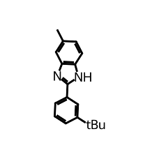 Cc1ccc2[nH]c(-c3cccc(C(C)(C)C)c3)nc2c1